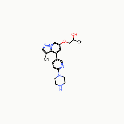 CCC(O)COc1cc(-c2ccc(N3CCNCC3)nc2)c2c(C#N)cnn2c1